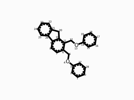 c1ccc(OCc2ccc3c(c2COc2ccccc2)Cc2ccccc2-3)cc1